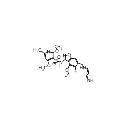 COc1cc(C)nc(OC)c1S(=O)(=O)Nc1noc2cc(CN/C=C\C=N)c(F)c(OCF)c12